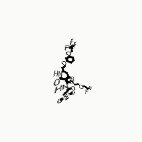 CS(=O)(=O)CC(=O)Nc1c2c(nn1CCOCC(F)F)CC(CCOc1cccc(OCC(F)(F)F)c1)NC2=O